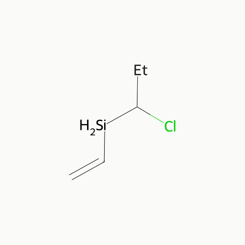 C=C[SiH2]C(Cl)CC